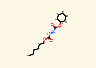 CCCCCCOC(=O)/N=N/C(=O)OC1CCCCC1